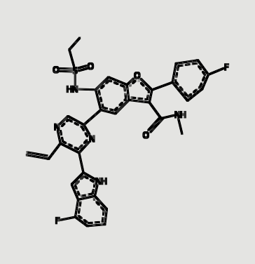 C=Cc1ncc(-c2cc3c(C(=O)NC)c(-c4ccc(F)cc4)oc3cc2NS(=O)(=O)CC)nc1-c1cc2c(F)cccc2[nH]1